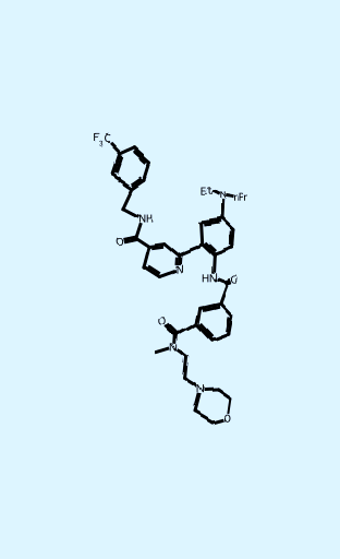 CCCN(CC)c1ccc(NC(=O)c2cccc(C(=O)N(C)CCN3CCOCC3)c2)c(-c2cc(C(=O)NCc3cccc(C(F)(F)F)c3)ccn2)c1